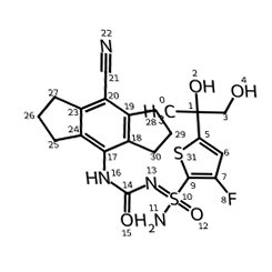 CC(O)(CO)c1cc(F)c(S(N)(=O)=NC(=O)Nc2c3c(c(C#N)c4c2CCC4)CCC3)s1